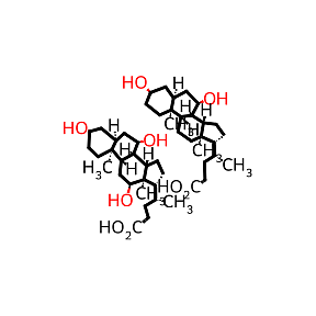 C[C@H](CCC(=O)O)[C@H]1CC[C@H]2[C@@H]3[C@H](O)C[C@@H]4C[C@H](O)CC[C@]4(C)[C@H]3CC[C@]12C.C[C@H](CCC(=O)O)[C@H]1CC[C@H]2[C@@H]3[C@H](O)C[C@@H]4C[C@H](O)CC[C@]4(C)[C@H]3C[C@H](O)[C@]12C